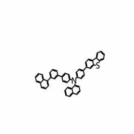 c1cc(-c2ccc(N(c3ccc(-c4ccc5c(c4)sc4ccccc45)cc3)c3cccc4ccccc34)cc2)cc(-c2cccc3ccccc23)c1